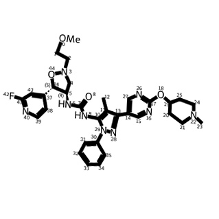 COCCN1C[C@@H](NC(=O)Nc2c(C)c(-c3cnc(OC4CCN(C)CC4)nc3)nn2-c2ccccc2)[C@H](c2ccnc(F)c2)O1